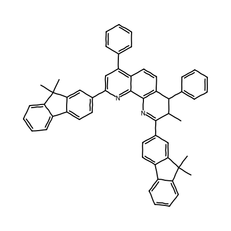 CC1C(c2ccc3c(c2)C(C)(C)c2ccccc2-3)=Nc2c(ccc3c(-c4ccccc4)cc(-c4ccc5c(c4)C(C)(C)c4ccccc4-5)nc23)C1c1ccccc1